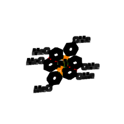 COc1ccc([PH](c2ccc(OC)cc2)(c2ccc(OC)cc2)[Pd]([Cl])([Cl])[PH](c2ccc(OC)cc2)(c2ccc(OC)cc2)c2ccc(OC)cc2)cc1